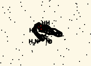 CC1(C)C23CC45C6C7C8C9C%10C%11C%12CC%13%14CCC%15C(CN=O)C%16C%17(CN)C%18C%19C%20C%21C%22C%23C%24[C@@H]4C14[C@H](C1C%25C%26[C@H]%27C%28C%29C%15C%19(C%18(C)C%29%16%17)C%20%28C%21%27C%221C%25%24C%23%264)[C@@H]2C1C2C4C%15C%16C%17C%18C%13C%12%14C%11%18C%101C94C28C7%16C%156C%1753